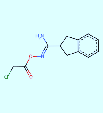 N/C(=N\OC(=O)CCl)C1Cc2ccccc2C1